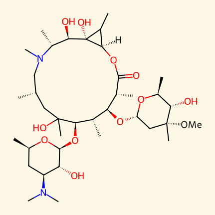 CO[C@]1(C)C[C@H](O[C@H]2[C@H](C)[C@@H](O[C@@H]3O[C@H](C)C[C@H](N(C)C)[C@H]3O)C(C)(O)C[C@H](C)CN(C)[C@H](C)[C@@H](O)[C@@]3(O)C(C)[C@H]3OC(=O)[C@@H]2C)O[C@@H](C)[C@@H]1O